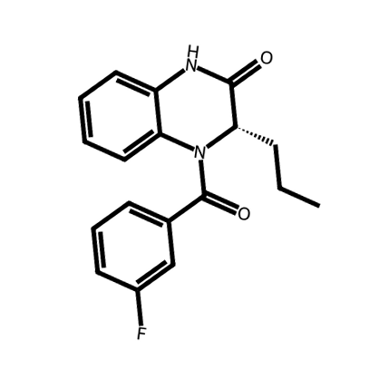 CCC[C@H]1C(=O)Nc2ccccc2N1C(=O)c1cccc(F)c1